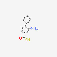 Nc1cc(C(=O)S)ccc1-c1ccccc1